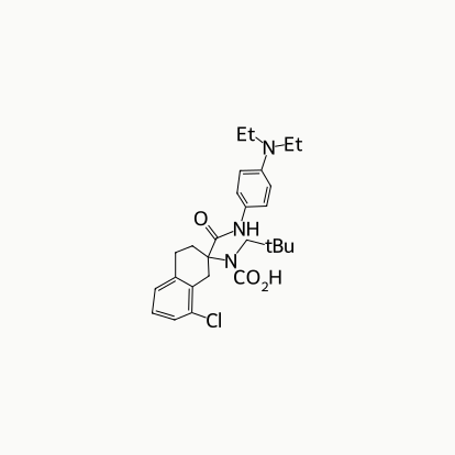 CCN(CC)c1ccc(NC(=O)C2(N(CC(C)(C)C)C(=O)O)CCc3cccc(Cl)c3C2)cc1